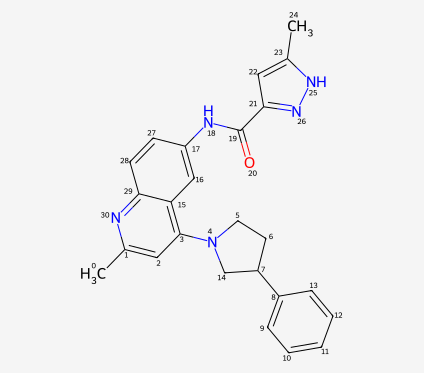 Cc1cc(N2CCC(c3ccccc3)C2)c2cc(NC(=O)c3cc(C)[nH]n3)ccc2n1